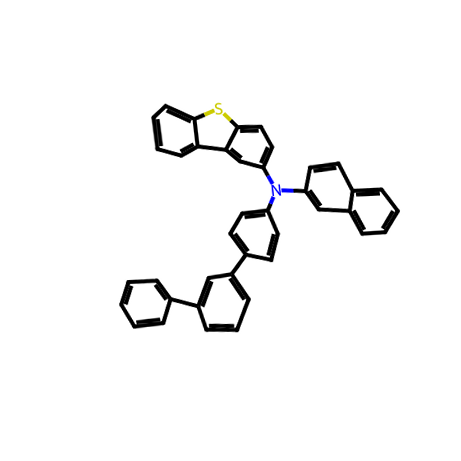 c1ccc(-c2cccc(-c3ccc(N(c4ccc5ccccc5c4)c4ccc5sc6ccccc6c5c4)cc3)c2)cc1